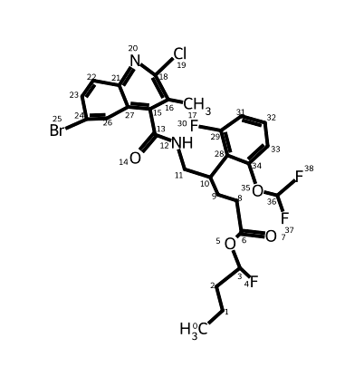 CCCC(F)OC(=O)CCC(CNC(=O)c1c(C)c(Cl)nc2ccc(Br)cc12)c1c(F)cccc1OC(F)F